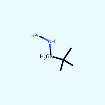 CCC[NH][GeH2][C](C)(C)C